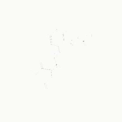 CCC(=O)N(C[C]=O)C(=O)/C=C/c1ccccc1NCC(=O)O